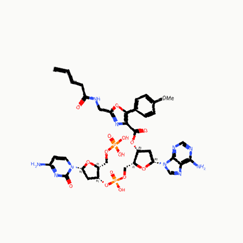 C=CCCC(=O)NCc1nc(C(=O)O[C@@H]2C[C@H](n3cnc4c(N)ncnc43)O[C@@H]2COP(=O)(O)O[C@@H]2C[C@H](n3ccc(N)nc3=O)O[C@@H]2COP(=O)(O)O)c(-c2ccc(OC)cc2)o1